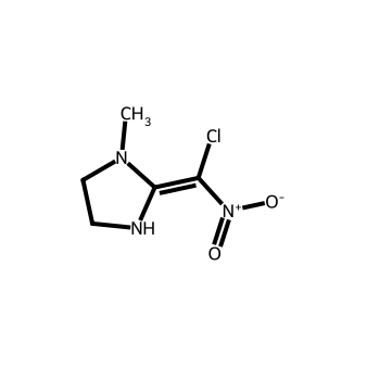 CN1CCNC1=C(Cl)[N+](=O)[O-]